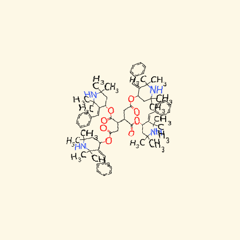 CC1(C)CC(OC(=O)CC(C(=O)OC2CC(C)(C)NC(C)(C)/C2=C\c2ccccc2)C(CC(=O)OC2CC(C)(C)NC(C)(C)/C2=C\c2ccccc2)C(=O)OC2CC(C)(C)NC(C)(C)/C2=C\c2ccccc2)/C(=C/c2ccccc2)C(C)(C)N1